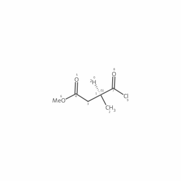 [2H][C@](C)(CC(=O)OC)C(=O)Cl